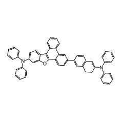 C1=C(N(c2ccccc2)c2ccccc2)CCc2cc(-c3ccc4c(c3)c3ccccc3c3c5ccc(N(c6ccccc6)c6ccccc6)cc5oc43)ccc21